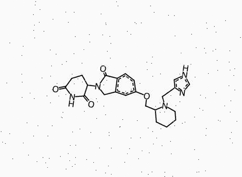 O=C1CCC(N2Cc3cc(OCC4CCCCN4Cc4c[nH]cn4)ccc3C2=O)C(=O)N1